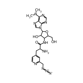 CN(C)c1ncnc2c1ncn2C1OC(CO)C(NC(=O)C(N)Cc2ccnc(CN=[N+]=[N-])c2)C1O